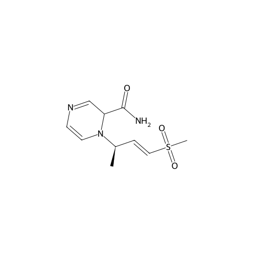 C[C@H](/C=C/S(C)(=O)=O)N1C=CN=CC1C(N)=O